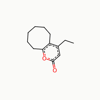 CCc1cc(=O)oc2c1CCCCCC2